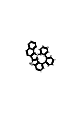 c1ccc2c(c1)ccc1c3[nH]c4cccc5c6ccccc6c6ccccc6n(c21)c3c45